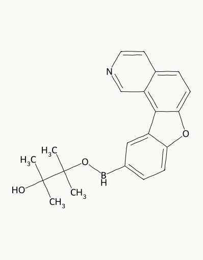 CC(C)(O)C(C)(C)OBc1ccc2oc3ccc4ccncc4c3c2c1